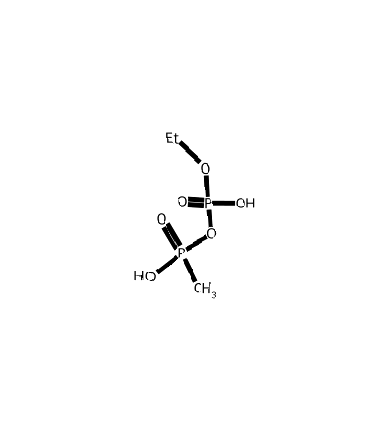 CCOP(=O)(O)OP(C)(=O)O